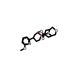 COC(=O)N1C2COCC1CC(N1CCC(c3cccc(OC)n3)CC1)C2